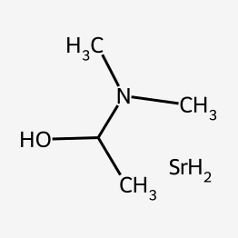 CC(O)N(C)C.[SrH2]